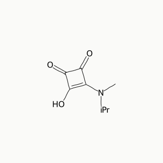 CC(C)N(C)c1c(O)c(=O)c1=O